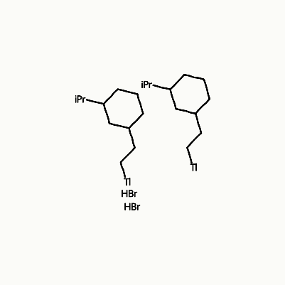 Br.Br.CC(C)C1CCCC(C[CH2][Tl])C1.CC(C)C1CCCC(C[CH2][Tl])C1